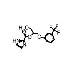 CCC(COc1cccc(C(F)(F)F)c1)OC(=O)c1ncc[nH]1